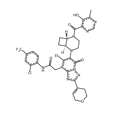 CCc1c(N2CCN(C(=O)c3ncnc(C)c3O)[C@H]3CC[C@@H]32)c(=O)n2nc(C3=CCOCC3)nc2n1CC(=O)Nc1ccc(C(F)(F)F)cc1Cl